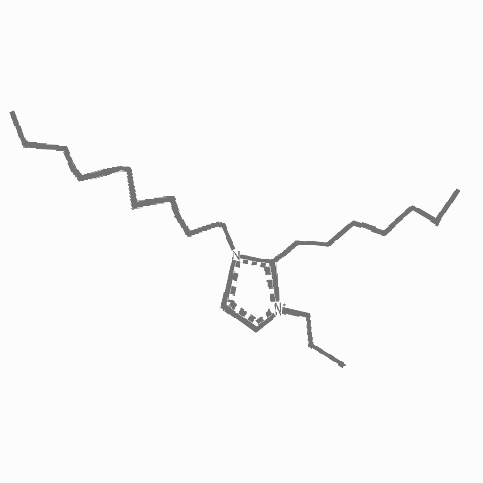 CCCCCCCCCn1cc[n+](CCC)c1CCCCCCC